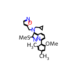 COc1cc(C)cc(C)c1-c1cccc2c(N(Cc3ccno3)CC3CC3)c(SC)nn12